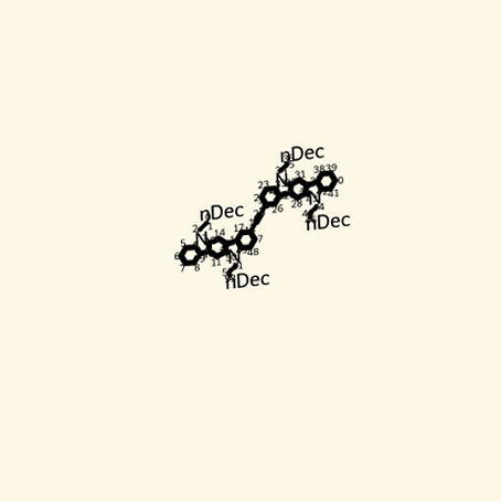 CCCCCCCCCCCCn1c2ccccc2c2cc3c(cc21)c1cc(C#Cc2ccc4c(c2)c2cc5c(cc2n4CCCCCCCCCCCC)c2ccccc2n5CCCCCCCCCCCC)ccc1n3CCCCCCCCCCCC